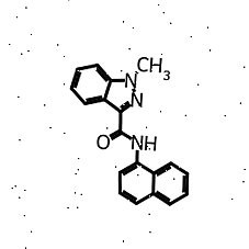 Cn1nc(C(=O)Nc2cccc3ccccc23)c2ccccc21